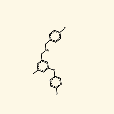 Cc1cc(CNCc2ccc(F)cc2)cc(Oc2ccc(F)cc2)c1